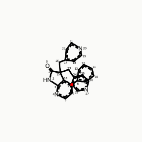 O=C1Nc2nccc(-c3ccccc3)c2C1(Cc1ccncc1)Cc1ccncc1